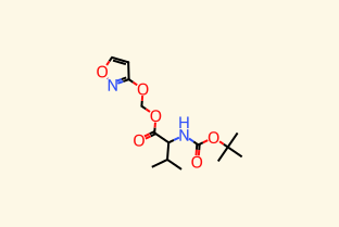 CC(C)C(NC(=O)OC(C)(C)C)C(=O)OCOc1ccon1